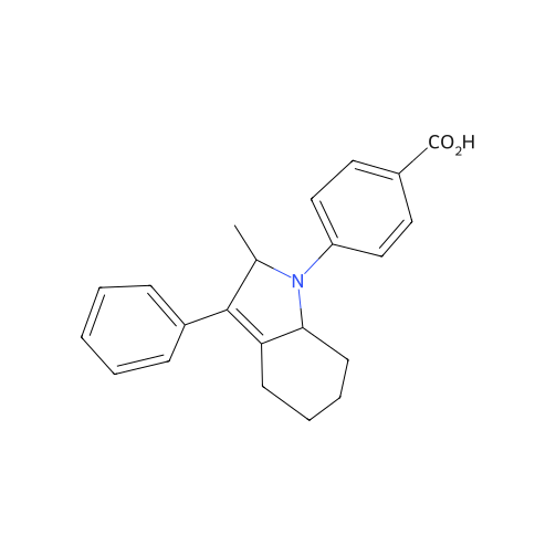 CC1C(c2ccccc2)=C2CCCCC2N1c1ccc(C(=O)O)cc1